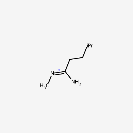 C/N=C(\N)CCC(C)C